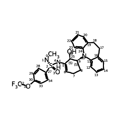 CN=S(=O)(NC1=CCC[C@H](N2c3ccccc3CCc3ccccc32)[C@@H]1O)c1ccc(OC(F)(F)F)cc1